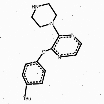 CC(C)(C)c1ccc(Oc2nccnc2N2CCNCC2)cc1